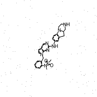 CN(c1ccccc1Cn1ccc2cnc(Nc3ccc4c(c3)CC3CNCCN43)nc21)S(C)(=O)=O